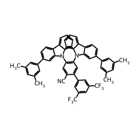 Cc1cc(C)cc(-c2ccc3c4ccccc4n(-c4cc(C#N)c(-c5cc(C(F)(F)F)cc(C(F)(F)F)c5)cc4-n4c5ccccc5c5ccc(-c6cc(C)cc(C)c6)cc54)c3c2)c1